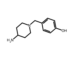 NC1CCN(Cc2ccc(O)cc2)CC1